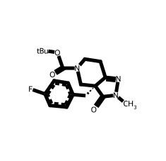 CN1N=C2CCN(C(=O)OC(C)(C)C)C[C@]2(Cc2ccc(F)cc2)C1=O